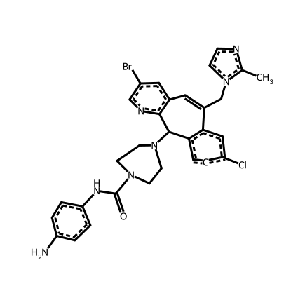 Cc1nccn1CC1=Cc2cc(Br)cnc2C(N2CCN(C(=O)Nc3ccc(N)cc3)CC2)c2ccc(Cl)cc21